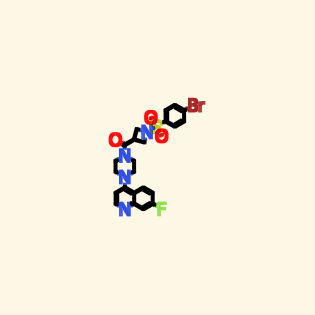 O=C(C1CN(S(=O)(=O)c2ccc(Br)cc2)C1)N1CCN(c2ccnc3cc(F)ccc23)CC1